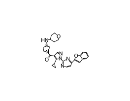 O=C(c1cnn(-c2nccc(-c3cc4ccccc4o3)n2)c1C1CC1)N1CC[C@@H](NC2CCOCC2)C1